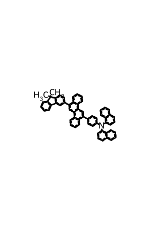 CC1(C)c2ccccc2-c2cc(-c3cc4c5ccccc5c(-c5ccc(N(c6cccc7ccccc67)c6cccc7ccccc67)cc5)cc4c4ccccc34)ccc21